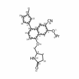 CC(C)Oc1cc2c(OCC3CCC(=O)N3)ncc(-c3cnn(C)c3)c2cc1C#N